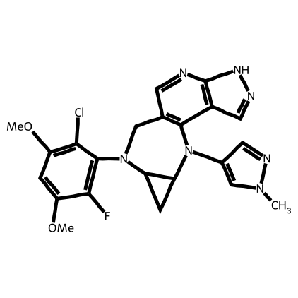 COc1cc(OC)c(Cl)c(N2Cc3cnc4[nH]ncc4c3N(c3cnn(C)c3)C3CC32)c1F